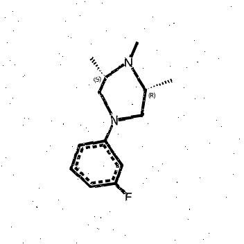 C[C@@H]1CN(c2cccc(F)c2)C[C@H](C)N1C